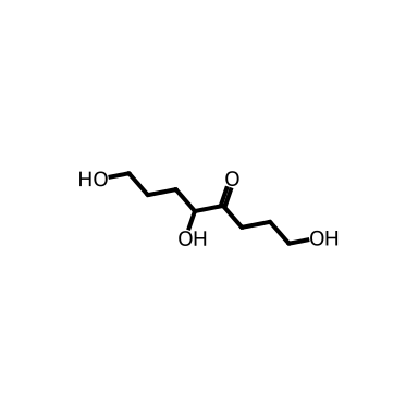 O=C(CCCO)C(O)CCCO